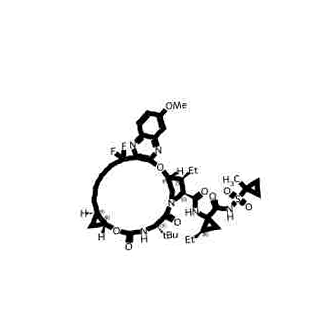 CC[C@@H]1[C@@H]2CN(C(=O)[C@H](C(C)(C)C)NC(=O)O[C@@H]3C[C@H]3CCCCC(F)(F)c3nc4ccc(OC)cc4nc3O2)[C@@H]1C(=O)NC1(C(=O)NS(=O)(=O)C2(C)CC2)C[C@H]1CC